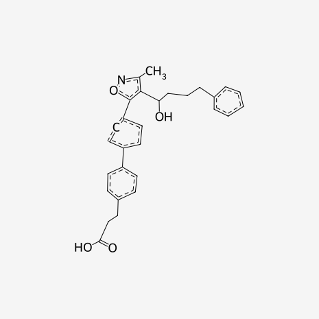 Cc1noc(-c2ccc(-c3ccc(CCC(=O)O)cc3)cc2)c1C(O)CCCc1ccccc1